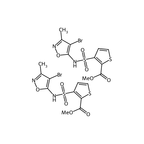 COC(=O)c1sccc1S(=O)(=O)Nc1onc(C)c1Br.COC(=O)c1sccc1S(=O)(=O)Nc1onc(C)c1Br